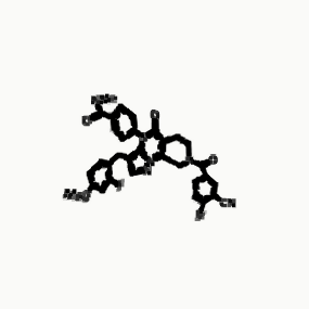 CNC(=O)c1ccc(-n2c(=O)c3c(n4ncc(Cc5ccc(OC)cc5F)c24)CN(C(=O)c2ccc(Br)c(C#N)c2)CC3)cc1